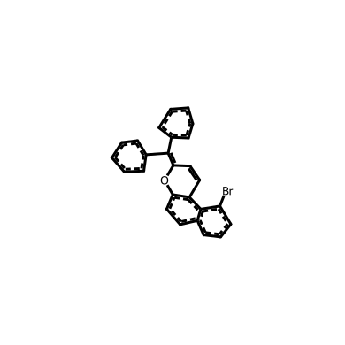 Brc1cccc2ccc3c(c12)C=CC(=C(c1ccccc1)c1ccccc1)O3